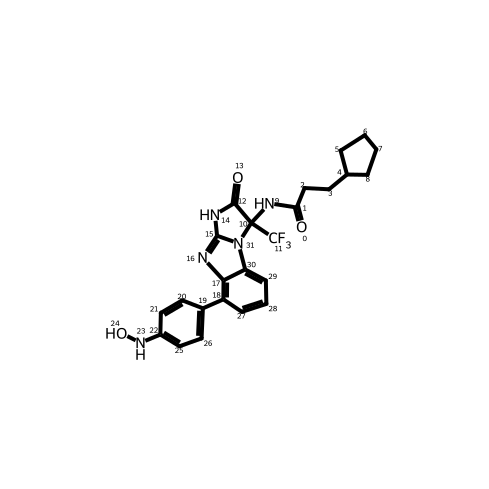 O=C(CCC1CCCC1)NC1(C(F)(F)F)C(=O)Nc2nc3c(-c4ccc(NO)cc4)cccc3n21